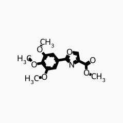 COC(=O)c1coc(-c2cc(OC)c(OC)c(OC)c2)n1